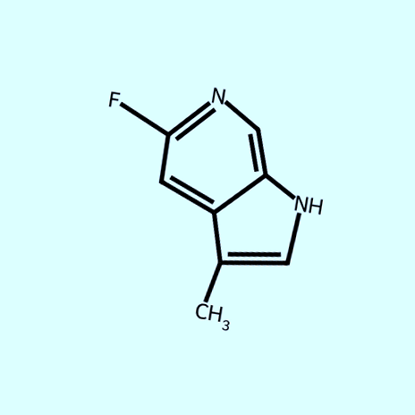 Cc1c[nH]c2cnc(F)cc12